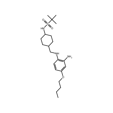 CCCCOc1ccc(NCC2CCC(NS(=O)(=O)C(C)(C)C)CC2)c(N)c1